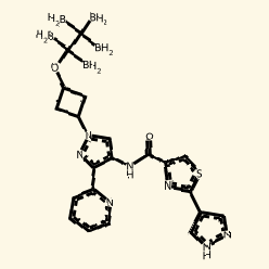 BC(B)(B)C(B)(B)OC1CC(n2cc(NC(=O)c3csc(-c4cn[nH]c4)n3)c(-c3ccccn3)n2)C1